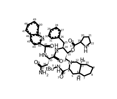 CC(C)(C)NC(=O)[C@@H]1C[C@@H]2CCCC[C@@H]2CN1C[C@@H](OC(=O)C1CCCN1)[C@H](Cc1ccccc1)NC(=O)[C@H](CC(N)=O)NC(=O)c1ccc2ccccc2n1